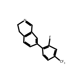 Fc1cc(C(F)(F)F)ccc1-c1ccc2c(c1)C=NCC2